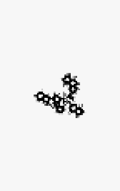 C1=Cc2cc(-c3ccc(-c4nc(-c5ccc6ccccc6c5)nc(-c5ccc6ccc7ccccc7c6c5)n4)c4c3oc3ccccc34)ccc2CC1